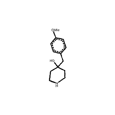 COc1ccc(CC2(O)CCNCC2)cc1